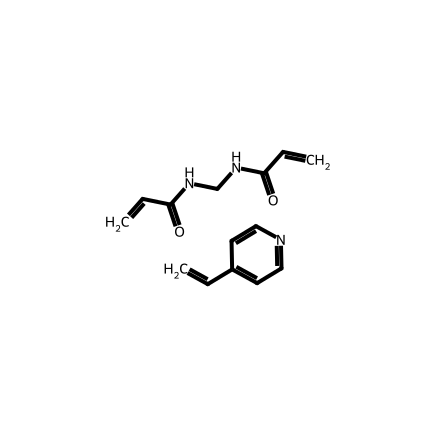 C=CC(=O)NCNC(=O)C=C.C=Cc1ccncc1